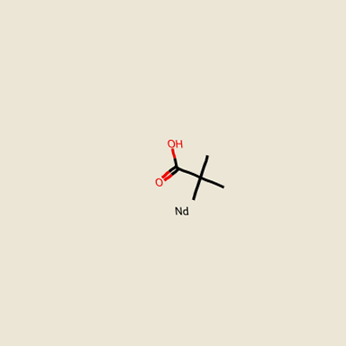 CC(C)(C)C(=O)O.[Nd]